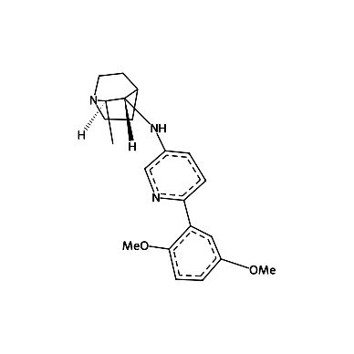 COc1ccc(OC)c(-c2ccc(N[C@H]3C4CCN(CC4)[C@@H]3C)cn2)c1